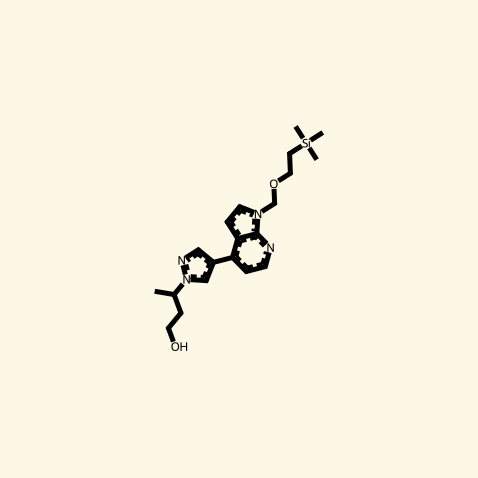 CC(CCO)n1cc(-c2ccnc3c2ccn3COCC[Si](C)(C)C)cn1